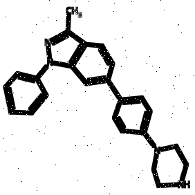 Cc1nn(-c2ccccc2)c2cc(-c3ccc(N4CCNCC4)cc3)ccc12